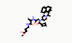 COC(=O)/C=C/CNC(=O)C(C)NC(=O)CN(C(=O)C1CCC1)C1CCN(C(C)c2cccc3ccccc23)CC1